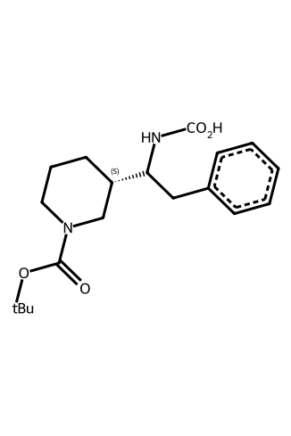 CC(C)(C)OC(=O)N1CCC[C@H](C(Cc2ccccc2)NC(=O)O)C1